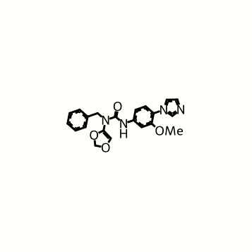 COc1cc(NC(=O)N(Cc2ccccc2)C2=COCO2)ccc1-n1ccnc1